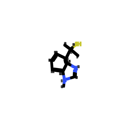 Cn1cnc2c(C(C)(C)S)cccc21